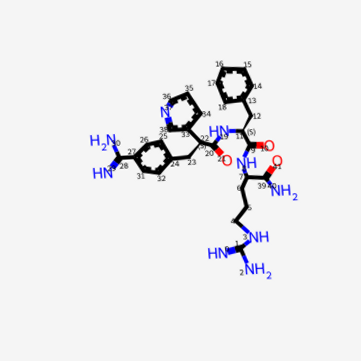 N=C(N)NCCCC(NC(=O)[C@H](Cc1ccccc1)NC(=O)[C@@H](Cc1ccc(C(=N)N)cc1)c1cccnc1)C(N)=O